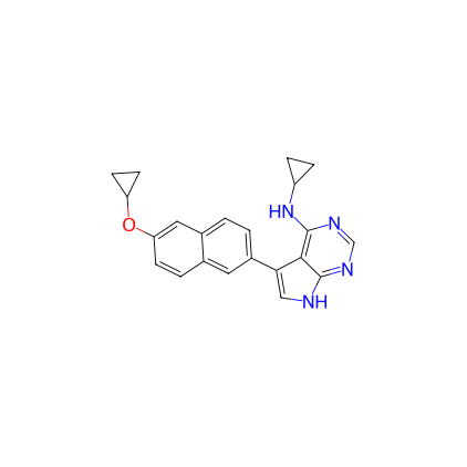 c1nc(NC2CC2)c2c(-c3ccc4cc(OC5CC5)ccc4c3)c[nH]c2n1